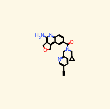 C#Cc1ccc(CN(CC2CC2)C(=O)c2ccc3nc(N)c4c(c3c2)COC4)nc1